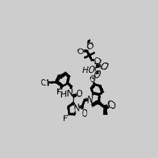 COC(=O)C(C)(C)COP(=O)(O)OOc1ccc2c(C(C)=O)cn(CC(=O)N3C[C@H](F)C[C@H]3C(=O)NCc3cccc(Cl)c3F)c2c1